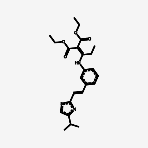 CCOC(=O)C(C(=O)OCC)=C(CC)Nc1cccc(C=Cc2nc(C(C)C)cs2)c1